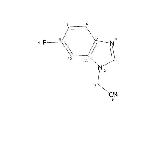 N#CCn1cnc2ccc(F)cc21